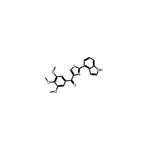 COc1cc(C(=O)c2csc(-c3cccc4[nH]ccc34)n2)cc(OC)c1OC